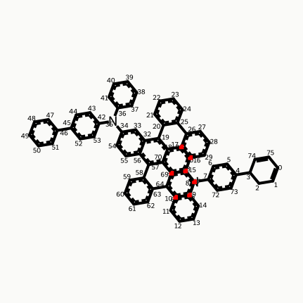 C1=CCC(c2ccc(N(c3ccccc3)c3ccc4c(-c5ccccc5-c5ccccc5)c5cc(N(c6ccccc6)c6ccc(-c7ccccc7)cc6)ccc5c(-c5ccccc5-c5ccccc5)c4c3)cc2)C=C1